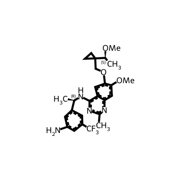 COc1cc2nc(C)nc(N[C@H](C)c3cc(N)cc(C(F)(F)F)c3)c2cc1OCC1([C@H](C)OC)CC1